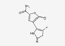 NC(=O)c1cc(C2=C(I)CNN2)c(Cl)o1